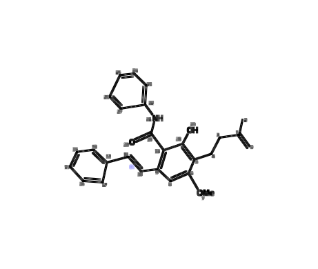 C=C(C)CCc1c(OC)cc(/C=C/c2ccccc2)c(C(=O)Nc2ccccc2)c1O